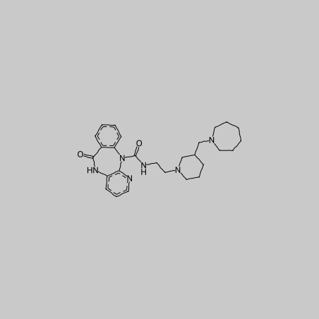 O=C1Nc2cccnc2N(C(=O)NCCN2CCCC(CN3CCCCCC3)C2)c2ccccc21